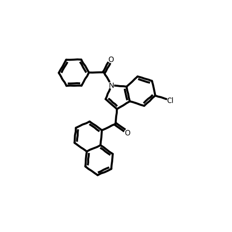 O=C(c1cccc2ccccc12)c1cn(C(=O)c2ccccc2)c2ccc(Cl)cc12